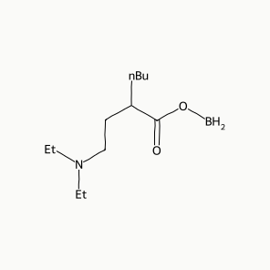 BOC(=O)C(CCCC)CCN(CC)CC